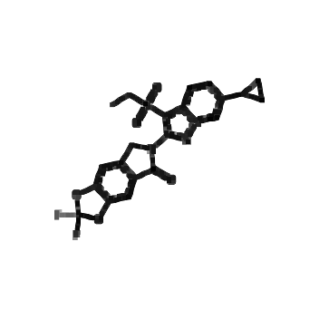 CCS(=O)(=O)c1c(N2Cc3cc4c(cc3C2=O)OC(F)(F)O4)nn2cc(C3CC3)ccc12